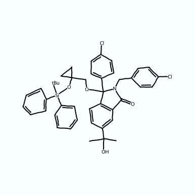 CC(C)(O)c1ccc2c(c1)C(=O)N(Cc1ccc(Cl)cc1)C2(OCC1(O[Si](c2ccccc2)(c2ccccc2)C(C)(C)C)CC1)c1ccc(Cl)cc1